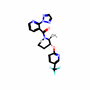 C[C@H]1[C@H](Oc2ccc(C(F)(F)F)cn2)CCCN1C(=O)c1cccnc1-n1nccn1